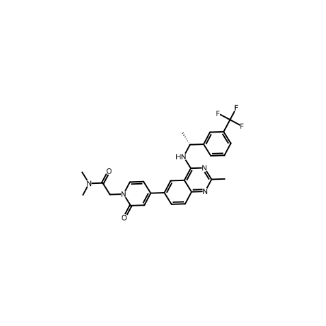 Cc1nc(N[C@H](C)c2cccc(C(F)(F)F)c2)c2cc(-c3ccn(CC(=O)N(C)C)c(=O)c3)ccc2n1